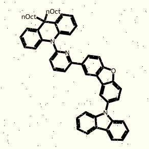 CCCCCCCCC1(CCCCCCCC)c2ccccc2N(c2cccc(-c3ccc4oc5ccc(-n6c7ccccc7c7ccccc76)cc5c4c3)n2)c2ccccc21